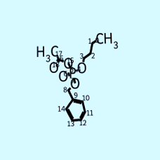 CCCCOP(=O)(OCc1ccccc1)OC(C)=O